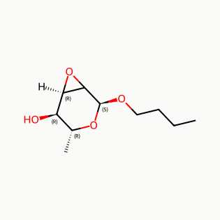 CCCCO[C@H]1O[C@H](C)[C@@H](O)[C@H]2OC12